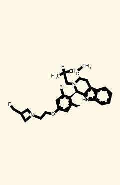 CC[C@@H]1Cc2c([nH]c3ccccc23)[C@@H](c2c(F)cc(OCCN3CC(CF)C3)cc2F)N1CC(C)(C)F